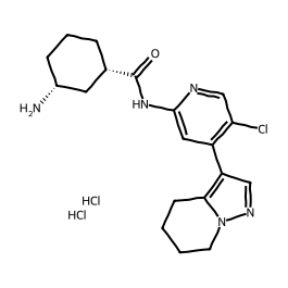 Cl.Cl.N[C@@H]1CCC[C@H](C(=O)Nc2cc(-c3cnn4c3CCCC4)c(Cl)cn2)C1